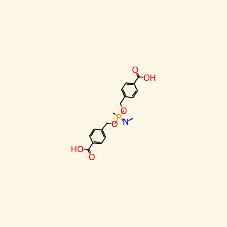 CN=P(C)(OCc1ccc(C(=O)O)cc1)OCc1ccc(C(=O)O)cc1